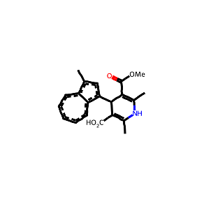 COC(=O)C1=C(C)NC(C)=C(C(=O)O)C1c1cc(C)c2cccccc1-2